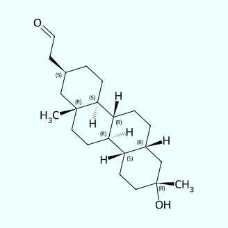 C[C@@]1(O)CC[C@H]2[C@H](CC[C@@H]3[C@@H]2CC[C@]2(C)C[C@@H](CC=O)CC[C@@H]32)C1